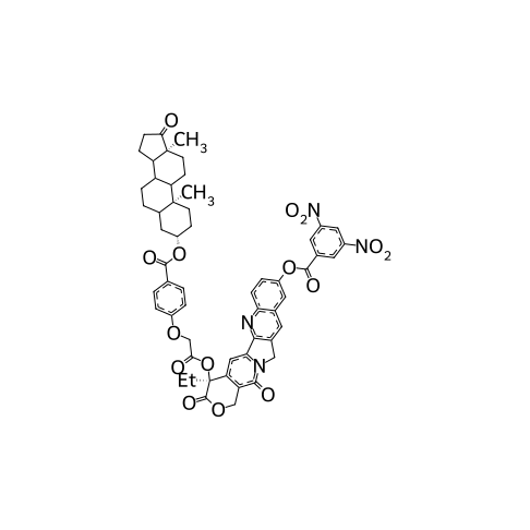 CC[C@@]1(OC(=O)COc2ccc(C(=O)O[C@H]3CC[C@@]4(C)C(CCC5C4CC[C@]4(C)C(=O)CCC54)C3)cc2)C(=O)OCc2c1cc1n(c2=O)Cc2cc3cc(OC(=O)c4cc([N+](=O)[O-])cc([N+](=O)[O-])c4)ccc3nc2-1